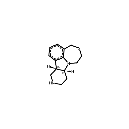 c1cc2c3c(c1)[C@H]1CNCC[C@H]1N3CCSC2